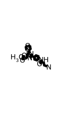 CS(=O)(=O)Cc1cc(N2CCOCC2)nc(-c2ccc(NC(=O)CCC#N)cc2)n1